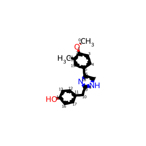 COc1ccc(-c2c[nH]c(Cc3ccc(O)cc3)n2)cc1C